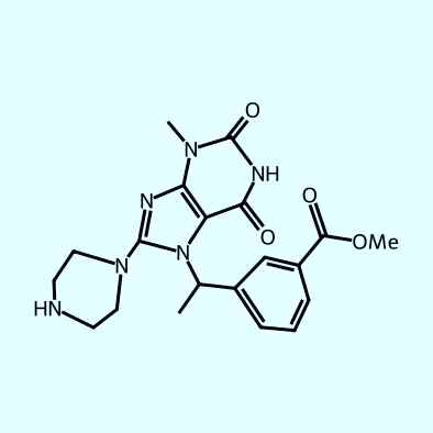 COC(=O)c1cccc(C(C)n2c(N3CCNCC3)nc3c2c(=O)[nH]c(=O)n3C)c1